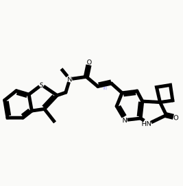 Cc1c(CN(C)C(=O)/C=C/c2cnc3c(c2)C2(CCC2)C(=O)N3)sc2ccccc12